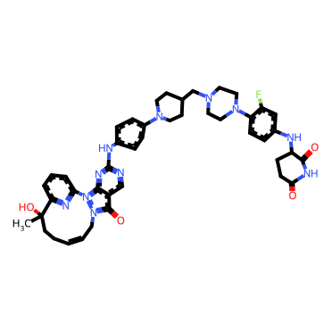 CC1(O)CC/C=C\Cn2c(=O)c3cnc(Nc4ccc(N5CCC(CN6CCN(c7ccc(NC8CCC(=O)NC8=O)cc7F)CC6)CC5)cc4)nc3n2-c2cccc1n2